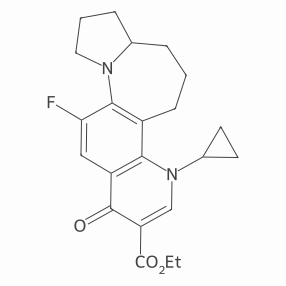 CCOC(=O)c1cn(C2CC2)c2c3c(c(F)cc2c1=O)N1CCCC1CCC3